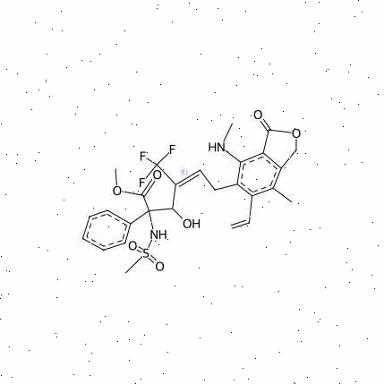 C=Cc1c(C)c2c(c(NC)c1C/C=C(\C(O)C(NS(C)(=O)=O)(C(=O)OC)c1ccccc1)C(F)(F)F)C(=O)OC2